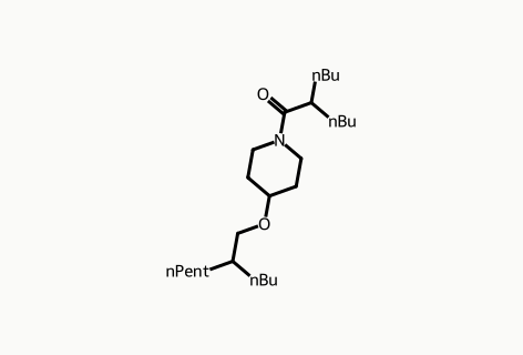 CCCCCC(CCCC)COC1CCN(C(=O)C(CCCC)CCCC)CC1